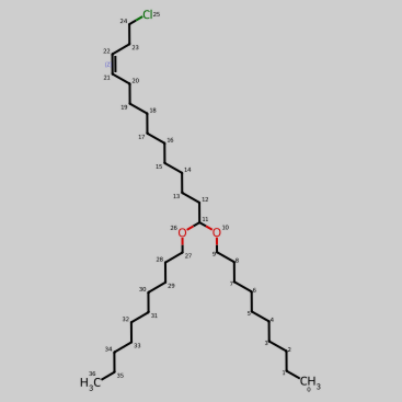 CCCCCCCCCCOC(CCCCCCCCC/C=C\CCCl)OCCCCCCCCCC